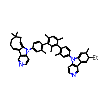 CCC1C=c2c(n(-c3ccc(-c4c(C)cc(C)c(-c5ccc(-n6c7/c(c8cnccc86)=C\CCC(C)(C)C/C=7)cc5C)c4C)c(C)c3)c3ccncc23)=CC1C